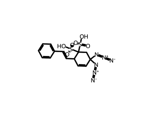 [N-]=[N+]=NC1(N=[N+]=[N-])C=CC(C=Cc2ccccc2)C(S(=O)(=O)O)(S(=O)(=O)O)C1